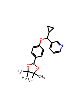 CC1(C)OB(c2ccc(OC(c3cccnc3)C3CC3)cc2)OC1(C)C